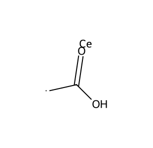 [CH2]C(=O)O.[Ce]